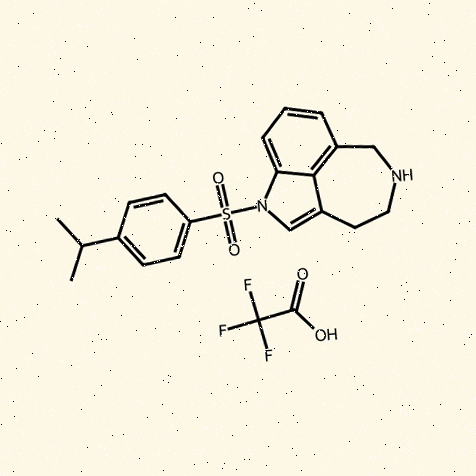 CC(C)c1ccc(S(=O)(=O)n2cc3c4c(cccc42)CNCC3)cc1.O=C(O)C(F)(F)F